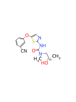 C[C@H](O)CN(C)C(=O)Nc1ncc(Oc2cccc(C#N)c2)s1